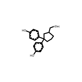 CCCCCCCCCCCC1CCCC(c2ccc(O)cc2)(c2ccc(O)cc2)C1